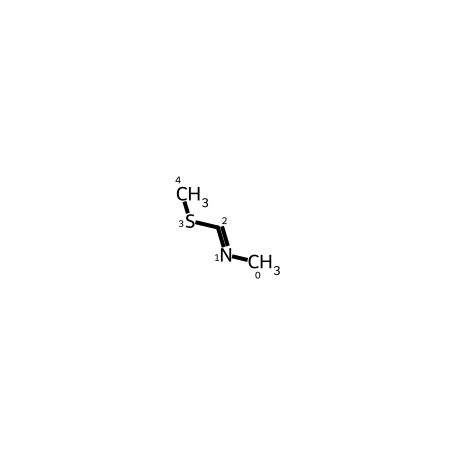 CN=CSC